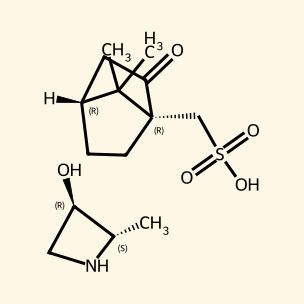 CC1(C)[C@@H]2CC[C@]1(CS(=O)(=O)O)C(=O)C2.C[C@@H]1NC[C@H]1O